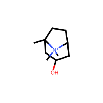 CC12CCC(CC(O)C1)[N+]2(C)C